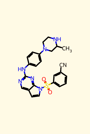 CC1CN(c2ccc(Nc3ncc4ccn(S(=O)(=O)c5cccc(C#N)c5)c4n3)cc2)CCN1